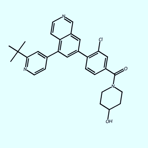 CC(C)(C)c1cc(-c2cc(-c3ccc(C(=O)N4CCC(O)CC4)cc3Cl)cc3cnccc23)ccn1